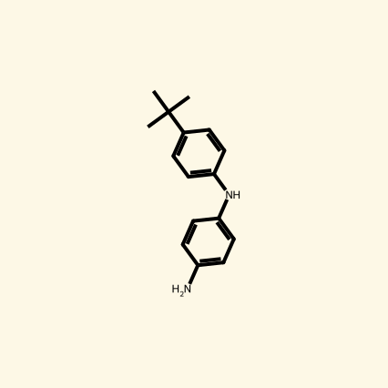 CC(C)(C)c1ccc(Nc2ccc(N)cc2)cc1